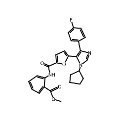 COC(=O)c1ccccc1NC(=O)c1ccc(-c2c(-c3ccc(F)cc3)ncn2C2CCCC2)o1